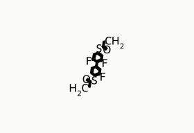 C=CC(=O)Sc1cc(F)c(-c2ccc(SC(=O)C=C)c(F)c2)c(F)c1